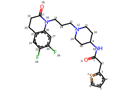 O=C(Cc1cccs1)NC1CCN(CCCN2C(=O)CCc3cc(F)c(F)cc32)CC1